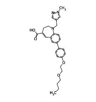 CCCCOCCOc1ccc(-c2ccc3c(c2)C=C(C(=O)O)CCN3Cc2cnn(C)c2)cc1